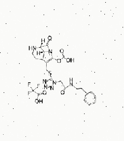 O=C(Cn1nnnc1SCC1=C(OC(=O)O)N2C(=O)[C@H]3NCCC1[C@H]32)NCCc1ccccc1.O=C(O)C(F)(F)F